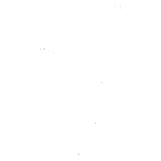 COC(CC(=O)ON1C(=O)CCC1=O)OCCO